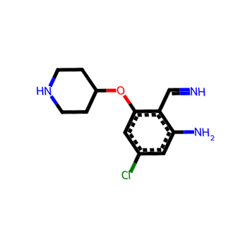 N=Cc1c(N)cc(Cl)cc1OC1CCNCC1